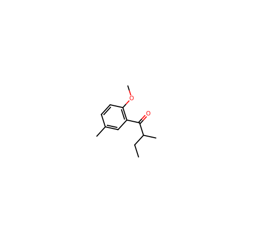 CCC(C)C(=O)c1cc(C)ccc1OC